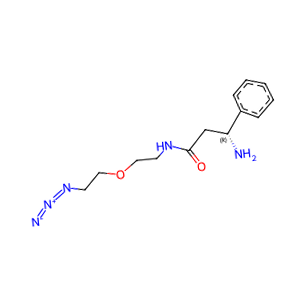 [N-]=[N+]=NCCOCCNC(=O)C[C@@H](N)c1ccccc1